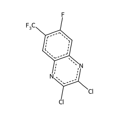 Fc1cc2nc(Cl)c(Cl)nc2cc1C(F)(F)F